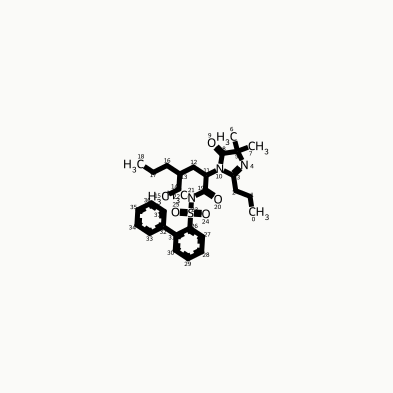 CCCC1=NC(C)(C)C(=O)N1C(CC(CC)CCC)C(=O)N(C)S(=O)(=O)c1ccccc1-c1ccccc1